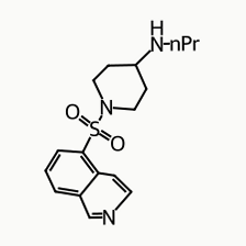 CCCNC1CCN(S(=O)(=O)c2cccc3cnccc23)CC1